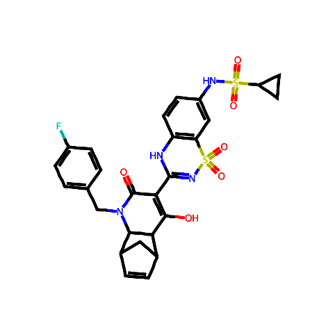 O=C1C(C2=NS(=O)(=O)c3cc(NS(=O)(=O)C4CC4)ccc3N2)=C(O)C2C3C=CC(C3)C2N1Cc1ccc(F)cc1